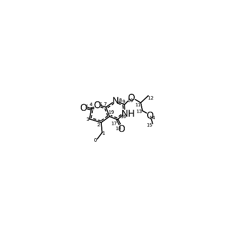 CCc1cc(=O)oc2nc(OC(C)COC)[nH]c(=O)c12